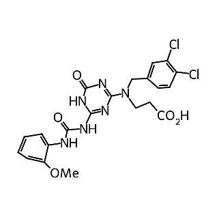 COc1ccccc1NC(=O)Nc1nc(N(CCC(=O)O)Cc2ccc(Cl)c(Cl)c2)nc(=O)[nH]1